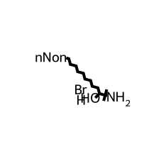 Br.CCCCCCCCCCCCCCCCCCC(O)C(C)(C)N